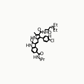 CCN(CC)CC(O)CNC(=O)c1c(C)[nH]c(C=C2C(=O)Nc3ccc(C(=O)NC(C)C)cc32)c1-c1ccc(Cl)cc1